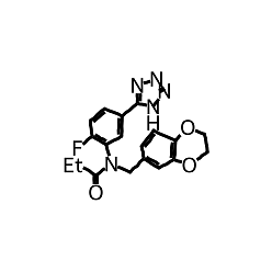 CCC(=O)N(Cc1ccc2c(c1)OCCO2)c1cc(-c2nnn[nH]2)ccc1F